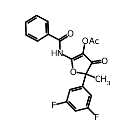 CC(=O)OC1=C(NC(=O)c2ccccc2)OC(C)(c2cc(F)cc(F)c2)C1=O